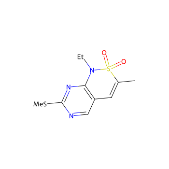 CCN1c2nc(SC)ncc2C=C(C)S1(=O)=O